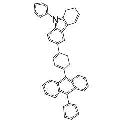 C1=Cc2c(n(-c3ccccc3)c3ccc(C4=CC=C(c5c6ccccc6c(-c6ccccc6)c6ccccc56)CC4)cc23)CC1